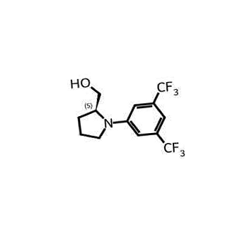 OC[C@@H]1CCCN1c1cc(C(F)(F)F)cc(C(F)(F)F)c1